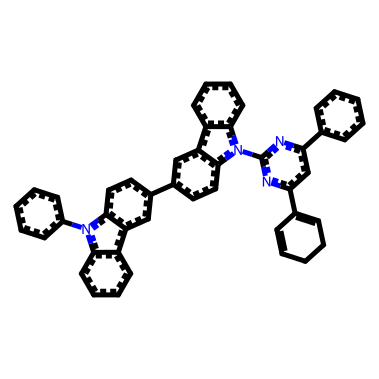 C1=CC(c2cc(-c3ccccc3)nc(-n3c4ccccc4c4cc(-c5ccc6c(c5)c5ccccc5n6-c5ccccc5)ccc43)n2)=CCC1